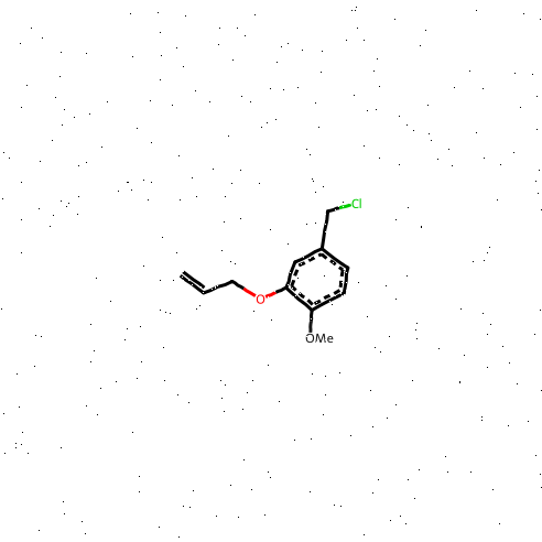 C=CCOc1cc(CCl)ccc1OC